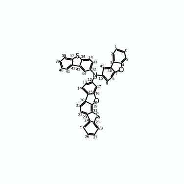 c1ccc2c(c1)oc1ccc(N(c3ccc4c(c3)oc3c4ccc4c5ccccc5sc43)c3ccc4sc5ccccc5c4c3)cc12